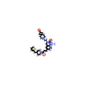 O=C1CC2(CCN(CCN3Cc4cc(C=CC(=O)N5CC=C(Cc6cccs6)CC5)cnc4NC3=O)CC2)C1